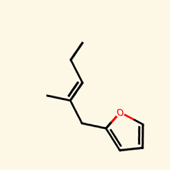 CCC=C(C)Cc1ccco1